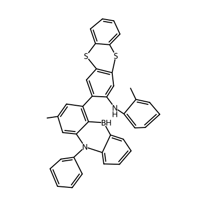 Cc1cc(-c2cc3c(cc2Nc2ccccc2C)Sc2ccccc2S3)c2c(c1)N(c1ccccc1)c1ccccc1B2